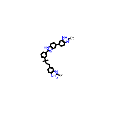 CC/C=N/c1ccc(-c2ccc3[nH]c(-c4cccc(C(C)(C)CCc5ccc(N)c(/N=C/C(C)C)c5)c4)nc3c2)cc1N